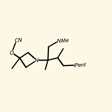 CCCC(C)CC(C)C(C)(CNC)N1CC(C)(OC#N)C1